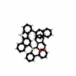 C1=CC2=CC=CC(N(c3ccccc3-c3ccccc3)c3cc4c(oc5cccc(-c6ccc7ccccc7c6)c54)c4ccccc34)C2C=C1